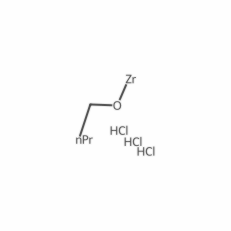 CCCC[O][Zr].Cl.Cl.Cl